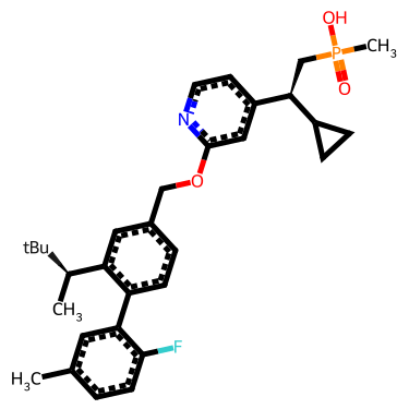 Cc1ccc(F)c(-c2ccc(COc3cc([C@@H](CP(C)(=O)O)C4CC4)ccn3)cc2[C@@H](C)C(C)(C)C)c1